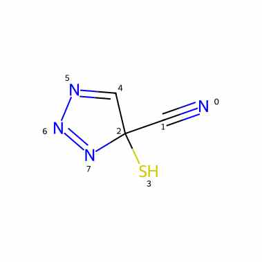 N#CC1(S)C=NN=N1